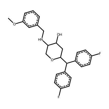 COc1cccc(CNC2COC(C(c3ccc(F)cc3)c3ccc(F)cc3)CC2O)c1